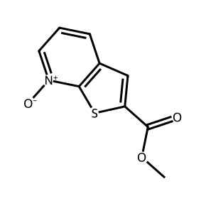 COC(=O)c1cc2ccc[n+]([O-])c2s1